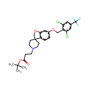 CC(C)(C)OC(=O)CCN1CCC2(CC1)COc1cc(OCc3c(Cl)cc(C(F)(F)F)cc3Cl)ccc12